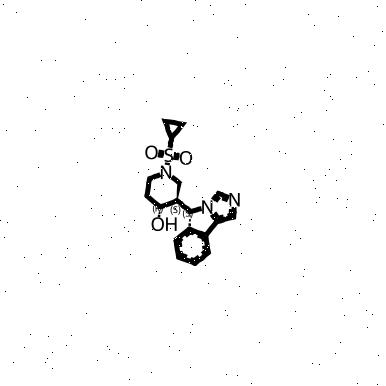 O=S(=O)(C1CC1)N1CC[C@@H](O)[C@H]([C@H]2c3ccccc3-c3cncn32)C1